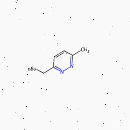 CCCCCc1ccc(C)nn1